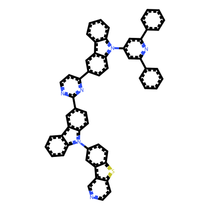 c1ccc(-c2cc(-n3c4ccccc4c4cc(-c5ccnc(-c6ccc7c(c6)c6ccccc6n7-c6ccc7sc8ccncc8c7c6)n5)ccc43)cc(-c3ccccc3)n2)cc1